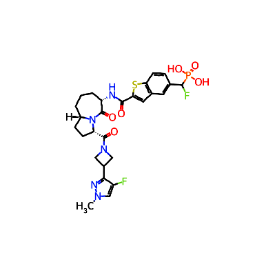 Cn1cc(F)c(C2CN(C(=O)[C@@H]3CC[C@@H]4CCC[C@H](NC(=O)c5cc6cc(C(F)P(=O)(O)O)ccc6s5)C(=O)N43)C2)n1